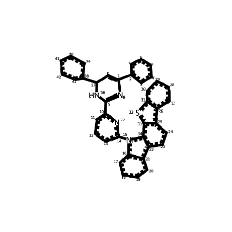 C1=C(c2ccccc2)N=C(c2cccc(-n3c4ccccc4c4ccc5c6ccccc6sc5c43)n2)NC1c1ccccc1